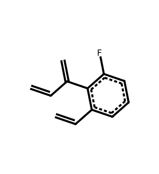 C=CC(=C)c1c(F)cccc1C=C